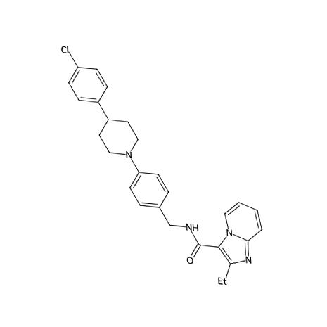 CCc1nc2ccccn2c1C(=O)NCc1ccc(N2CCC(c3ccc(Cl)cc3)CC2)cc1